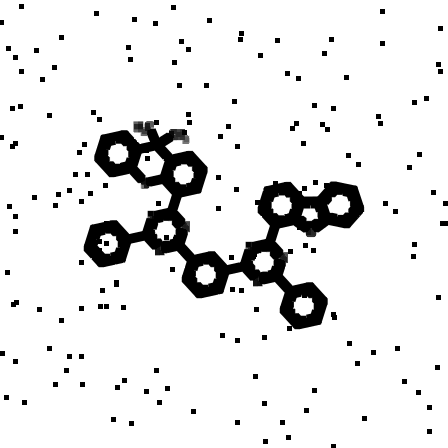 CC1(C)c2ccccc2Sc2c(-c3nc(-c4ccccc4)nc(-c4cccc(-c5nc(-c6ccccc6)nc(-c6cccc7c6oc6ccccc67)n5)c4)n3)cccc21